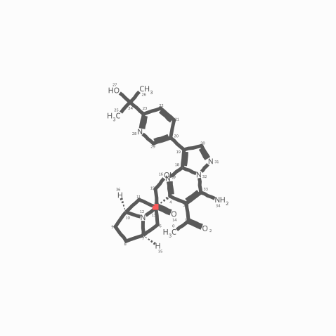 CC(=O)c1c([C@@H]2C[C@H]3CC[C@@H](C2)N3C(=O)CO)nc2c(-c3ccc(C(C)(C)O)nc3)cnn2c1N